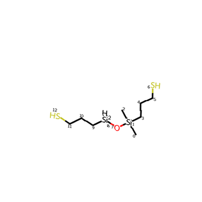 C[Si](C)(CCCS)O[SiH2]CCCS